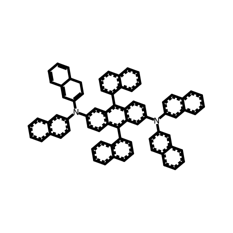 C1=CC2=CC(N(c3ccc4ccccc4c3)c3ccc4c(-c5cccc6ccccc56)c5cc(N(c6ccc7ccccc7c6)c6ccc7ccccc7c6)ccc5c(-c5cccc6ccccc56)c4c3)=CCC2C=C1